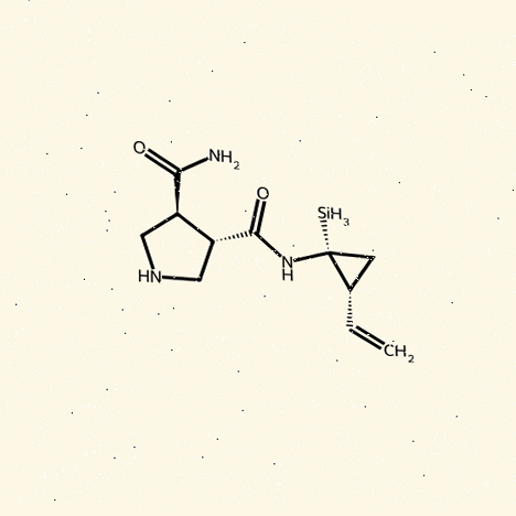 C=C[C@H]1C[C@]1([SiH3])NC(=O)[C@@H]1CNC[C@H]1C(N)=O